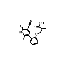 Cc1[nH]c(=O)c(C#N)cc1-c1ccccc1OCC(C)C(=O)O